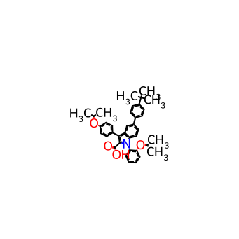 CC(C)Oc1ccc(-c2c(C(=O)O)n(-c3ccccc3OC(C)C)c3ccc(-c4ccc(C(C)(C)C)cc4)cc23)cc1